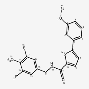 CCOc1cccc(-c2ccc(C(=O)NCc3cc(F)c(C)c(F)c3)s2)c1